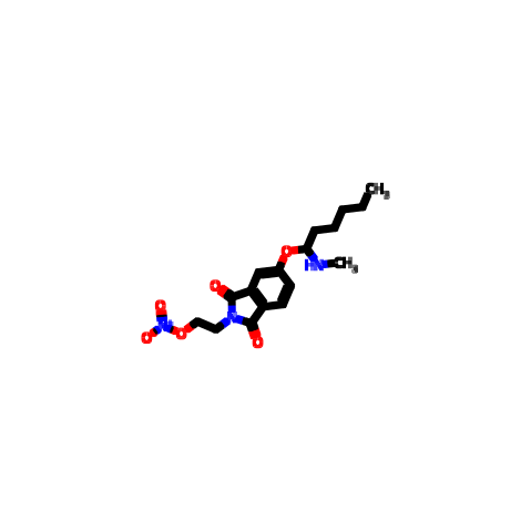 CCCCCC(NC)Oc1ccc2c(c1)C(=O)N(CCO[N+](=O)[O-])C2=O